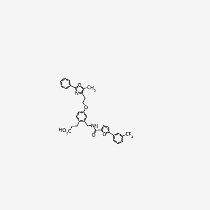 Cc1oc(-c2ccccc2)nc1CCOc1ccc(CCC(=O)O)c(CNC(=O)c2ccc(-c3cccc(C(F)(F)F)c3)o2)c1